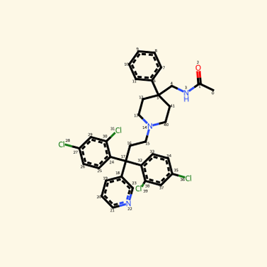 CC(=O)NCC1(c2ccccc2)CCN(CCC(c2cccnc2)(c2ccc(Cl)cc2Cl)c2ccc(Cl)cc2Cl)CC1